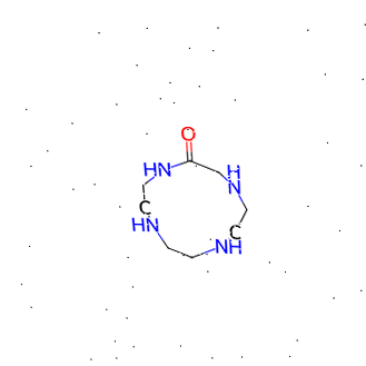 O=C1CNCCNCCNCCN1